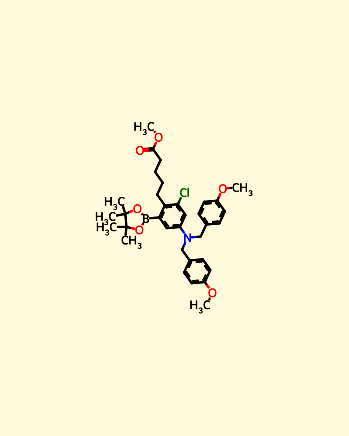 COC(=O)CCCCc1c(Cl)cc(N(Cc2ccc(OC)cc2)Cc2ccc(OC)cc2)cc1B1OC(C)(C)C(C)(C)O1